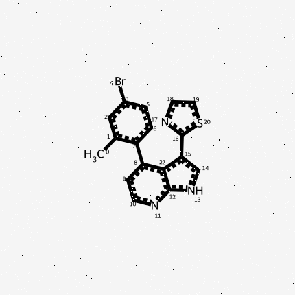 Cc1cc(Br)ccc1-c1ccnc2[nH]cc(-c3nccs3)c12